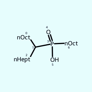 CCCCCCCCC(CCCCCCC)P(=O)(O)CCCCCCCC